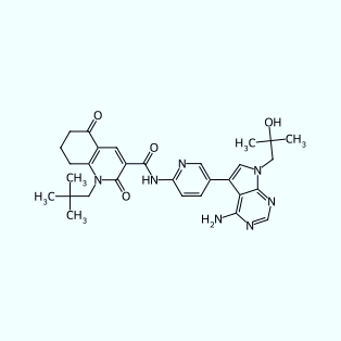 CC(C)(C)Cn1c2c(cc(C(=O)Nc3ccc(-c4cn(CC(C)(C)O)c5ncnc(N)c45)cn3)c1=O)C(=O)CCC2